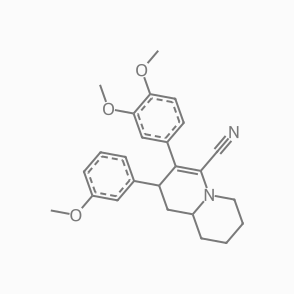 COc1cccc(C2CC3CCCCN3C(C#N)=C2c2ccc(OC)c(OC)c2)c1